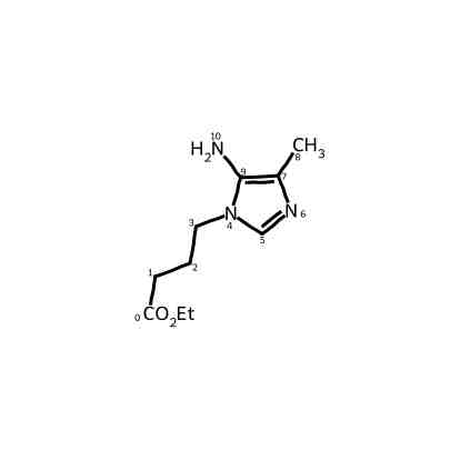 CCOC(=O)CCCn1cnc(C)c1N